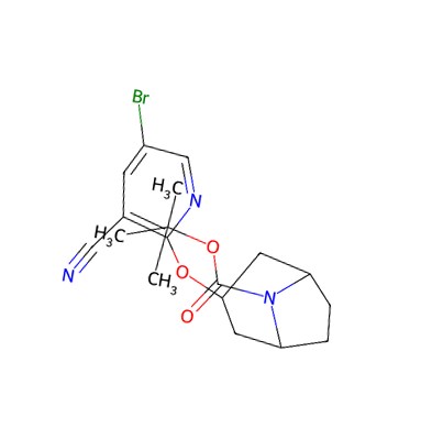 CC(C)(C)OC(=O)N1C2CCC1CC(Oc1ncc(Br)cc1C#N)C2